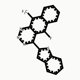 Fc1c2ccccc2c(C(F)(F)F)c2nnnc(-c3cc4ccccc4s3)c12